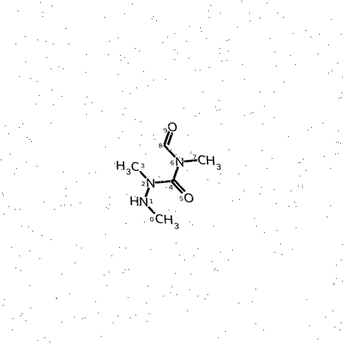 CNN(C)C(=O)N(C)C=O